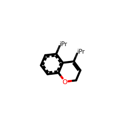 CC(C)C1=CCOc2cccc(C(C)C)c21